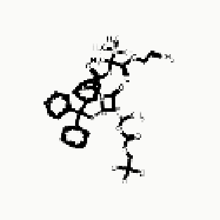 C=CCOC(=O)C(C)(OC(=O)C(O)N1C(=O)[C@H](C(C)OC(=O)OCC(Cl)(Cl)Cl)[C@H]1SC(c1ccccc1)(c1ccccc1)c1ccccc1)[Si](C)(C)C